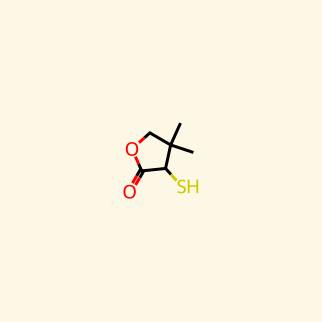 CC1(C)COC(=O)C1S